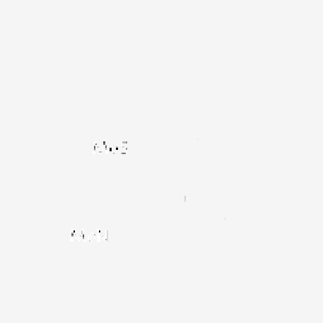 C=CC1=C(SC)[C@@H](CNC)CC1